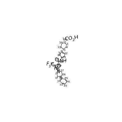 O=C(O)CC1CCC(c2ccc(NC(=O)c3oc(N4CCC(c5ccccc5)CC4)nc3C(F)(F)F)cc2)CC1